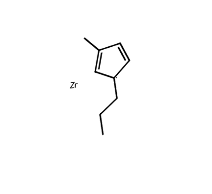 CCC[C]1C=CC(C)=C1.[Zr]